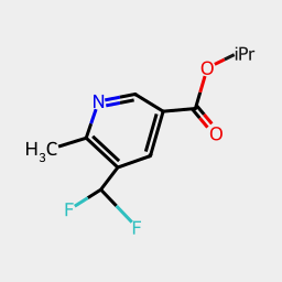 Cc1ncc(C(=O)OC(C)C)cc1C(F)F